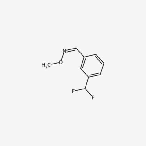 CO/N=[C]\c1cccc(C(F)F)c1